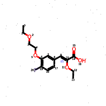 CCOCCOc1cc(/C=C(\OCC)C(=O)O)ccc1I